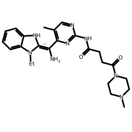 CCN1/C(=C(\N)c2nc(NC(=O)CCC(=O)N3CCN(C)CC3)ncc2C)Nc2ccccc21